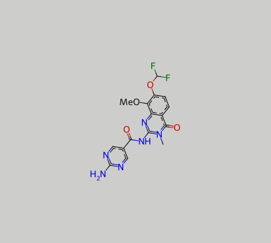 COc1c(OC(F)F)ccc2c(=O)n(C)c(NC(=O)c3cnc(N)nc3)nc12